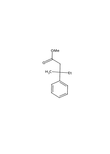 CCC(C)(CC(=O)OC)c1ccccc1